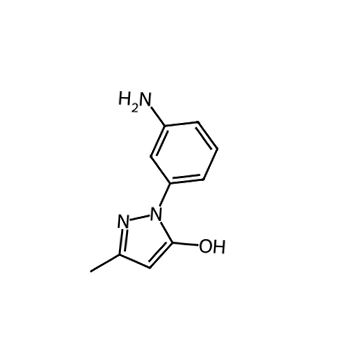 Cc1cc(O)n(-c2cccc(N)c2)n1